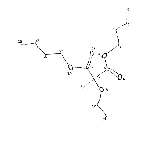 CCCCOC(=O)C(C)(OCC)C(=O)OCCCC